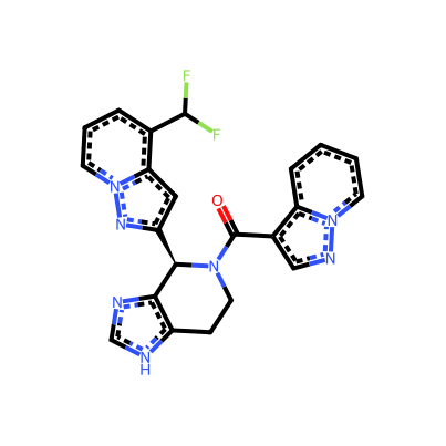 O=C(c1cnn2ccccc12)N1CCc2[nH]cnc2[C@H]1c1cc2c(C(F)F)cccn2n1